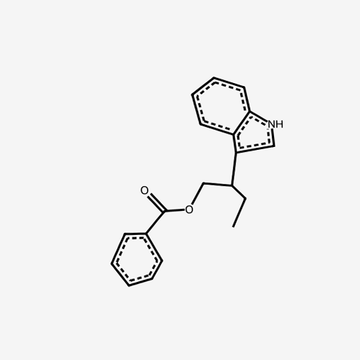 CCC(COC(=O)c1ccccc1)c1c[nH]c2ccccc12